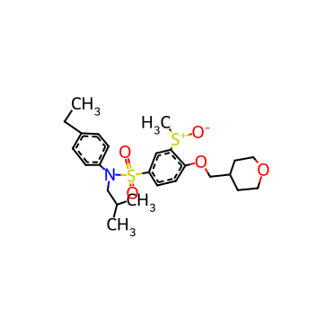 CCc1ccc(N(CC(C)C)S(=O)(=O)c2ccc(OCC3CCOCC3)c([S+](C)[O-])c2)cc1